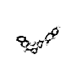 COc1ccc2c(c1)CCN(C1CCN(c3cc(C(=O)N4Cc5ccccc5C[C@H]4CO)ncn3)CC1)C(=O)N2